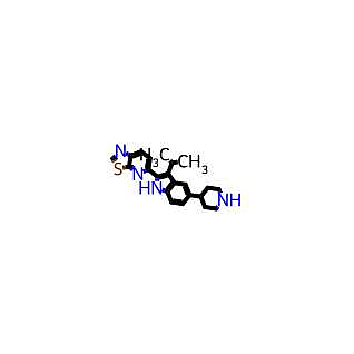 CC(C)c1c(-c2ccc3ncsc3n2)[nH]c2ccc(C3CCNCC3)cc12